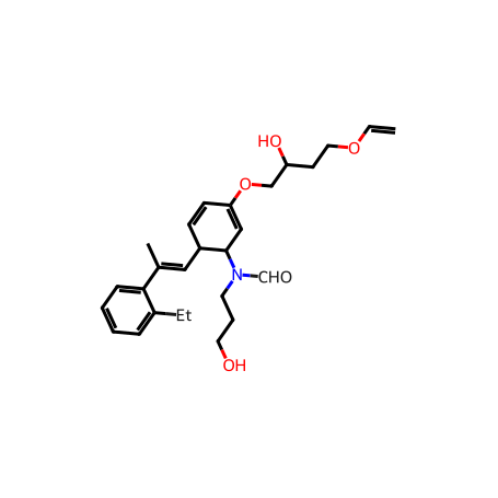 C=COCCC(O)COC1=CC(N(C=O)CCCO)C(/C=C(\C)c2ccccc2CC)C=C1